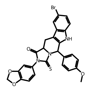 COc1ccc(C2c3[nH]c4ccc(Br)cc4c3CC3C(=O)N(c4ccc5c(c4)OCO5)C(=S)N32)cc1